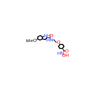 COc1ccc2[nH]c(C(=O)NCCOc3ccc(C(=O)NO)cc3)cc2c1